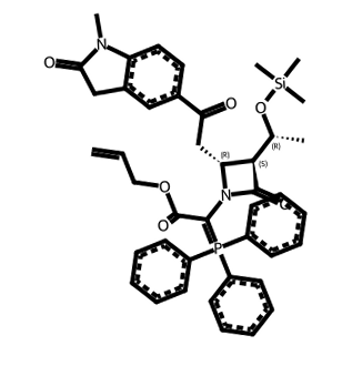 C=CCOC(=O)C(N1C(=O)[C@H]([C@@H](C)O[Si](C)(C)C)[C@H]1CC(=O)c1ccc2c(c1)CC(=O)N2C)=P(c1ccccc1)(c1ccccc1)c1ccccc1